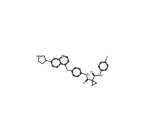 O=C(Nc1ccc(F)cc1)C1(C(=O)Nc2ccc(Oc3ccnc4cc(C5CCNC5)ccc34)cc2)CC1